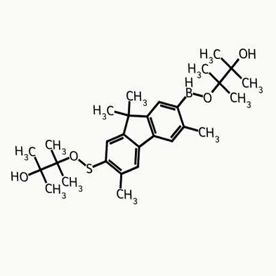 Cc1cc2c(cc1BOC(C)(C)C(C)(C)O)C(C)(C)c1cc(SOC(C)(C)C(C)(C)O)c(C)cc1-2